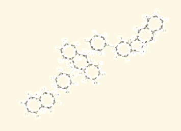 c1cc(-c2ccc3oc4cc5ccccc5cc4c3c2)cc(-c2c3ccccc3c(-c3ccc(-c4ccc5ccccc5c4)cc3)c3ccccc23)c1